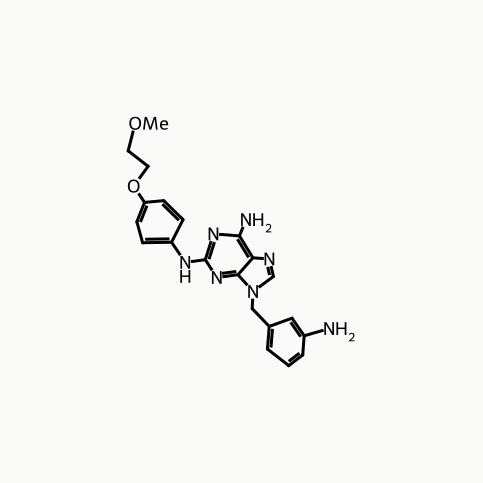 COCCOc1ccc(Nc2nc(N)c3ncn(Cc4cccc(N)c4)c3n2)cc1